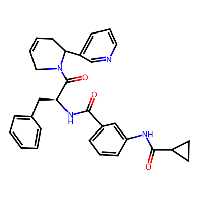 O=C(N[C@@H](Cc1ccccc1)C(=O)N1CC=CCC1c1cccnc1)c1cccc(NC(=O)C2CC2)c1